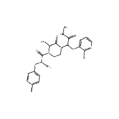 CCCC1C(=O)N(C(Cc2ccccc2Cl)C(=O)NC(C)C)CCN1C(=O)C(N)Cc1ccc(F)cc1